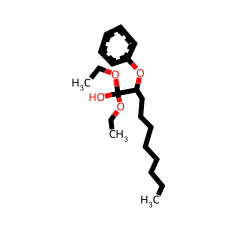 CCCCCCCCC(Oc1ccccc1)C(O)(OCC)OCC